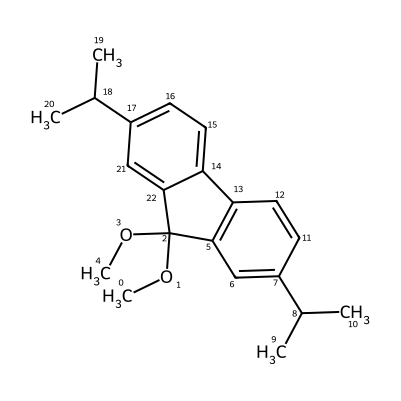 COC1(OC)c2cc(C(C)C)ccc2-c2ccc(C(C)C)cc21